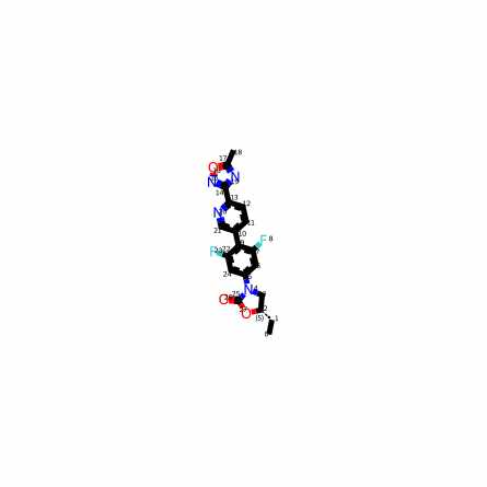 CC[C@H]1CN(c2cc(F)c(-c3ccc(-c4noc(C)n4)nc3)c(F)c2)C(=O)O1